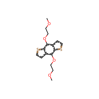 COCCOc1c2ccsc2c(OCCOC)c2ccsc12